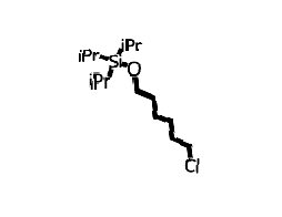 CC(C)[Si](OCCCCCCCl)(C(C)C)C(C)C